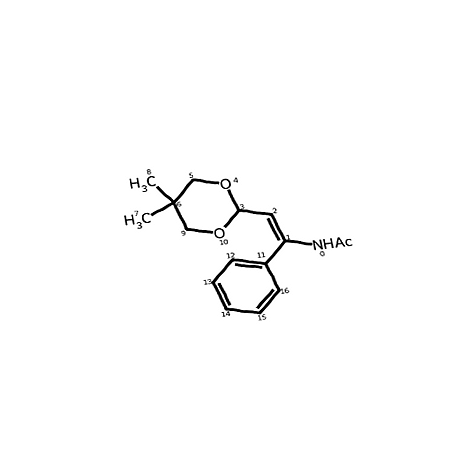 CC(=O)N/C(=C/C1OCC(C)(C)CO1)c1ccccc1